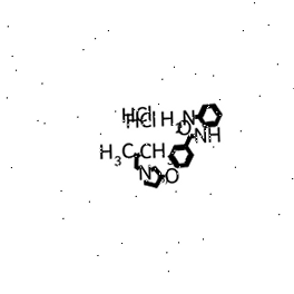 CC(C)CN1CC[C@H](Oc2ccc(C(=O)Nc3ccccc3N)cc2)C1.Cl.Cl